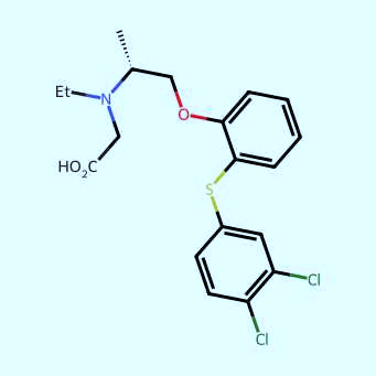 CCN(CC(=O)O)[C@H](C)COc1ccccc1Sc1ccc(Cl)c(Cl)c1